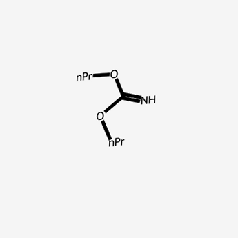 CCCOC(=N)OCCC